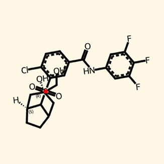 O=C(Nc1cc(F)c(F)c(F)c1)c1ccc(Cl)c(S(=O)(=O)C2C3CC[C@H]2C[C@@](O)(CO)C3)c1